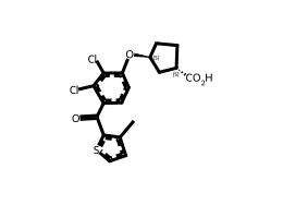 Cc1ccsc1C(=O)c1ccc(O[C@H]2CC[C@H](C(=O)O)C2)c(Cl)c1Cl